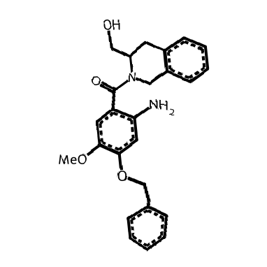 COc1cc(C(=O)N2Cc3ccccc3CC2CO)c(N)cc1OCc1ccccc1